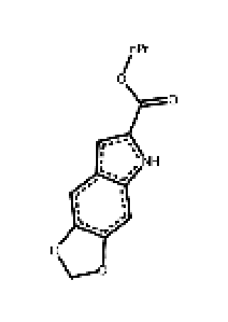 CCCOC(=O)c1cc2cc3c(cc2[nH]1)OCO3